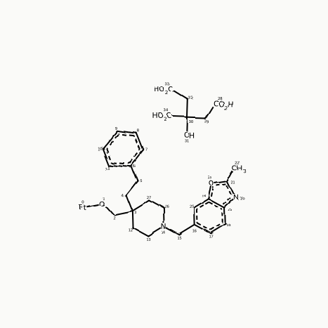 CCOCC1(CCc2ccccc2)CCN(Cc2ccc3nc(C)oc3c2)CC1.O=C(O)CC(O)(CC(=O)O)C(=O)O